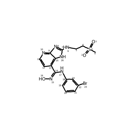 CS(=O)(=O)CCNc1nc2nccc(/C(=N\O)Nc3cccc(Br)c3)c2[nH]1